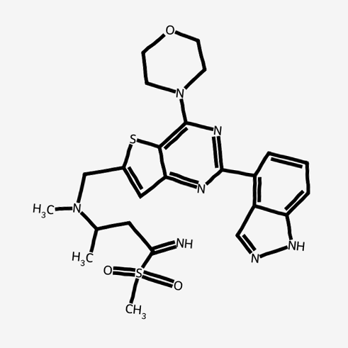 CC(CC(=N)S(C)(=O)=O)N(C)Cc1cc2nc(-c3cccc4[nH]ncc34)nc(N3CCOCC3)c2s1